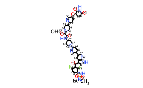 CCN(C)S(=O)(=O)Nc1ccc(F)c(C(=O)c2c[nH]c3ncc(-c4ccc(N5CCC(NC(=O)C(OC=O)N6CCC(c7ccc(OC8CCC(=O)NC8=O)cn7)CC6)CC5)nc4)cc23)c1F